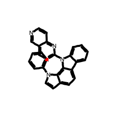 c1ccc(-n2ccc3ccc4c5ccccc5n(-c5ncc6cnccc6n5)c4c32)cc1